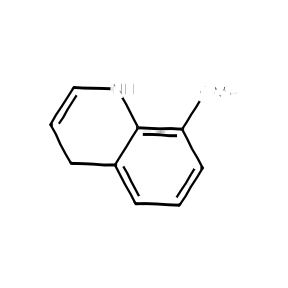 COc1cccc2c1NC=CC2